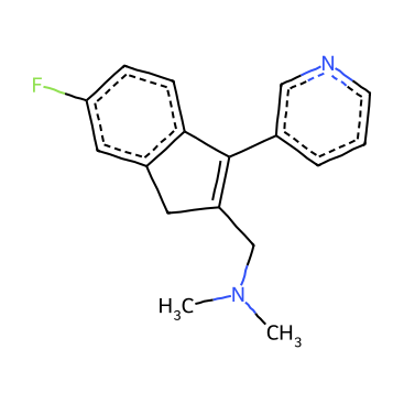 CN(C)CC1=C(c2cccnc2)c2ccc(F)cc2C1